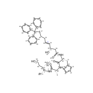 CC(C)[C@@H](NC(=O)[C@@H](C)NC(=O)[C@@H](Cc1cscn1)NC(=O)C[C@H](O)/C=C/CCSC(c1ccccc1)(c1ccccc1)c1ccccc1)[C@@H](O)CC(=O)O